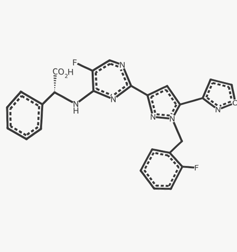 O=C(O)[C@H](Nc1nc(-c2cc(-c3ccon3)n(Cc3ccccc3F)n2)ncc1F)c1ccccc1